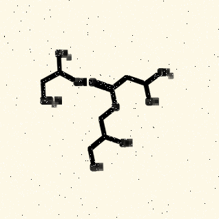 CC(O)CC(=O)O.CC(O)CC(=O)OCC(O)CO